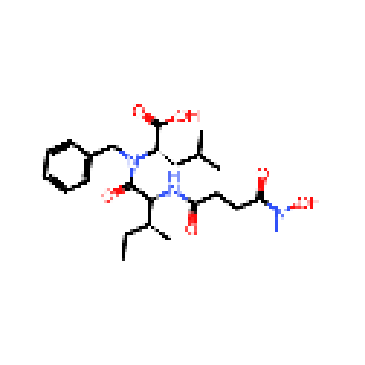 CC[C@H](C)[C@H](NC(=O)CCC(=O)NO)C(=O)N(Cc1ccccc1)[C@@H](CC(C)C)C(=O)O